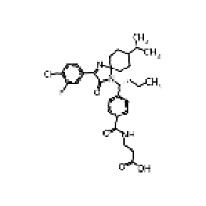 CCC[C@H](c1ccc(C(=O)NCCC(=O)O)cc1)N1C(=O)C(c2ccc(Cl)c(F)c2)=NC12CCC(C(C)C)CC2